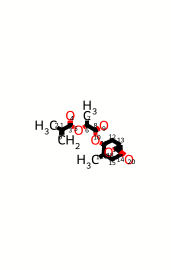 C=C(C)C(=O)OC(C)C(=O)OC1CC2CCC1(C)OC2=O